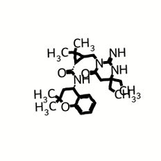 CCC1(CC)CC(=O)N(CC2[C@H](C(=O)N[C@H]3CC(C)(C)Oc4ccccc43)C2(C)C)C(=N)N1